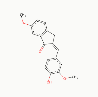 COc1ccc2c(c1)C(=O)C(=Cc1ccc(O)c(OC)c1)C2